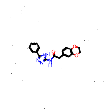 O=C(Cc1ccc2c(c1)OCCO2)Nc1nnc(-c2ccccc2)[nH]1